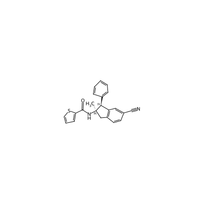 C[C@@]1(NC(=O)c2cccs2)Cc2ccc(C#N)cc2[C@@H]1c1ccccc1